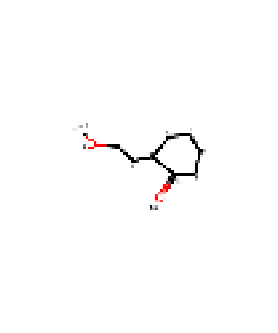 CCOCCC1CCCCC1=O